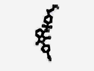 C/C(=C\N)c1ccc(S(=O)(=O)Nc2cccc3c2C(=O)N(c2ccc(C#N)cc2)C3=O)cc1